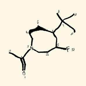 CC(=O)N1CCC(C(C)(C)C)C(F)C1